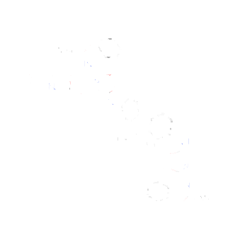 CCCCC1(CCCC)c2cc(NC(=O)[C@@H]3CCCN3C(=O)[C@H](NC(=O)OC)c3ccccc3)ccc2-c2ccc(NC(=O)[C@@H]3C[C@@H](OC(=O)CN4CCOCC4)CN3C(=O)[C@H](NC(=O)OC)c3ccccc3)cc21